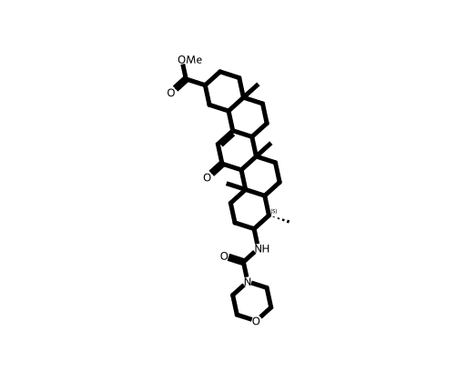 COC(=O)C1CCC2(C)CCC3C(=CC(=O)C4C3(C)CCC3[C@H](C)C(NC(=O)N5CCOCC5)CCC34C)C2C1